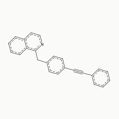 C(#Cc1ccc(Cc2nccc3ccccc23)cc1)c1ccccc1